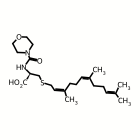 CC(C)=CCCC(C)=CCCC(C)=CCSC[C@H](NC(=O)N1CCOCC1)C(=O)O